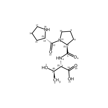 C[C@@H](O)[C@H](NC(=O)[C@@H]1CCCN1C(=O)[C@@H]1CCCN1)C(=O)O